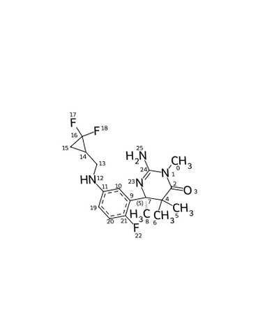 CN1C(=O)C(C)(C)[C@@](C)(c2cc(NCC3CC3(F)F)ccc2F)N=C1N